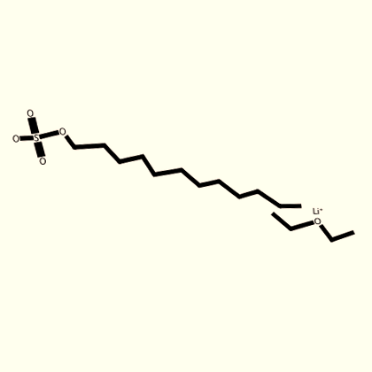 CCCCCCCCCCCCOS(=O)(=O)[O-].CCOCC.[Li+]